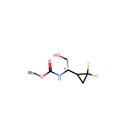 CC(C)(C)OC(=O)N[C@H](CO)C1CC1(F)F